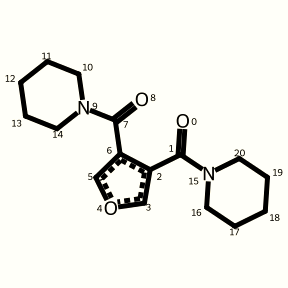 O=C(c1cocc1C(=O)N1CCCCC1)N1CCCCC1